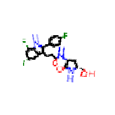 O=C(CCc1c(-c2ccc(F)cc2)[nH]c2c(F)cc(F)cc12)N[C@H]1C[C@H](CO)NC1=O